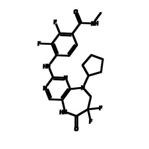 CNC(=O)c1ccc(Nc2ncc3c(n2)N(C2CCCC2)CC(F)(F)C(=O)N3)c(F)c1F